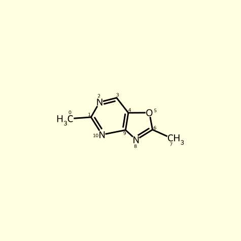 Cc1ncc2oc(C)nc2n1